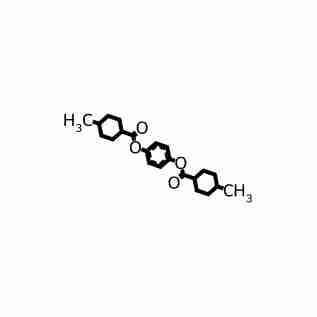 CC1CCC(C(=O)Oc2ccc(OC(=O)C3CCC(C)CC3)cc2)CC1